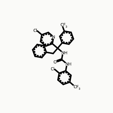 O=C(Nc1cc(C(F)(F)F)ccc1Cl)NC(Cc1ccccc1)(c1cccc(C(F)(F)F)c1)c1ccc(Cl)cn1